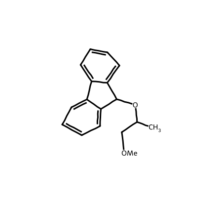 COCC(C)OC1c2ccccc2-c2ccccc21